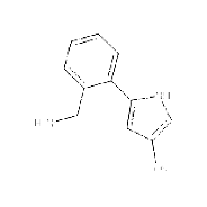 N#Cc1c[nH]c(-c2ccccc2CN)c1